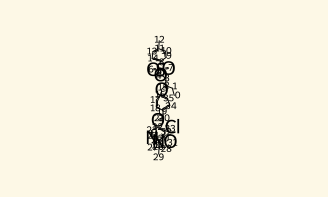 CCC(COS(=O)(=O)c1ccc(C)cc1)Oc1ccc(COc2cnn(C(C)(C)C)c(=O)c2Cl)cc1